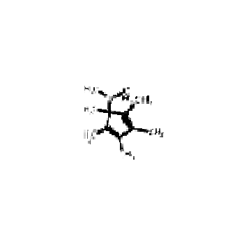 CC1=C(C)[C](C)([Ti]([CH3])[CH3])C(C)=C1C